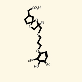 CCCc1c(OCCCSCC2(CC)COC3(CCC(CC(=O)O)C3)O2)ccc(C(C)=O)c1O